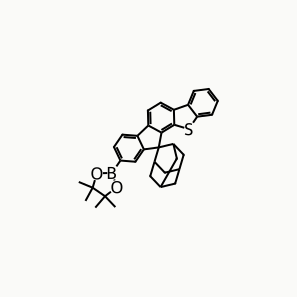 CC1(C)OB(c2ccc3c(c2)C2(c4c-3ccc3c4sc4ccccc43)C3CC4CC(C3)CC2C4)OC1(C)C